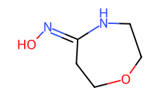 O/N=C1\CCOCCN1